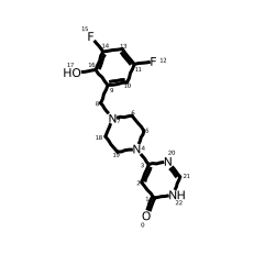 O=c1cc(N2CCN(Cc3cc(F)cc(F)c3O)CC2)nc[nH]1